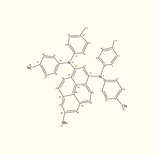 Cc1ccc(N(c2ccc(C#N)cc2)c2cc(N(c3ccc(C)cc3)c3ccc(C#N)cc3)c3ccc4cc(C(C)(C)C)cc5ccc2c3c54)cc1